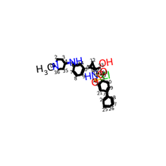 CN1CCC(Nc2cccc([C@@H]3C[C@]3(NS(=O)(=O)C3(Cl)C=CC(c4ccccc4)=CC3)C(=O)O)c2)CC1